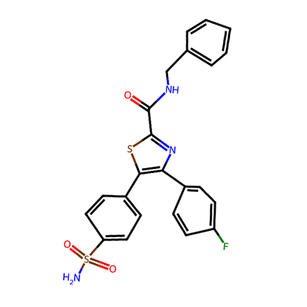 NS(=O)(=O)c1ccc(-c2sc(C(=O)NCc3ccccc3)nc2-c2ccc(F)cc2)cc1